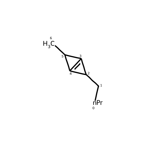 CCCCC1C2=C1C2C